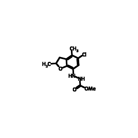 COC(=O)NNc1cc(Cl)c(C)c2c1OC(C)C2